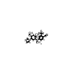 COC1CC(C)(C)C(N(C)c2ccc(C#N)c(C(F)(F)F)c2)C=C1n1ccnc1